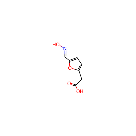 O=C(O)Cc1ccc(C=NO)o1